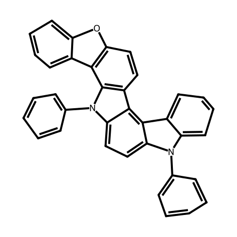 c1ccc(-n2c3ccccc3c3c4c5ccc6oc7ccccc7c6c5n(-c5ccccc5)c4ccc32)cc1